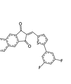 O=C1C(=Cc2ccc(-c3cc(F)cc(F)c3)s2)C(=O)c2cc3ccccc3cc21